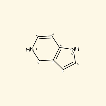 [CH]1NC=Cc2[nH]ccc21